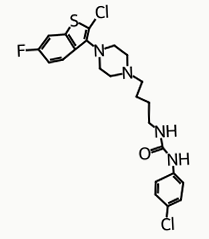 O=C(NCCCCN1CCN(c2c(Cl)sc3cc(F)ccc23)CC1)Nc1ccc(Cl)cc1